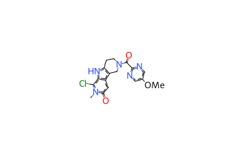 COc1cnc(C(=O)N2CCc3[nH]c4c(Cl)n(C)c(=O)cc4c3C2)nc1